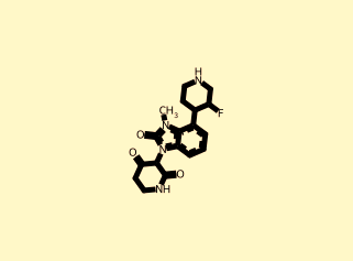 Cn1c(=O)n(C2C(=O)CCNC2=O)c2cccc(C3CCNCC3F)c21